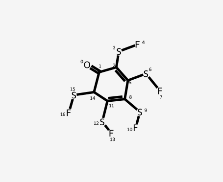 O=C1C(SF)=C(SF)C(SF)=C(SF)C1SF